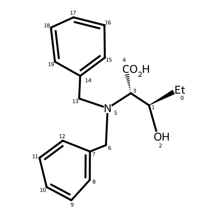 CC[C@@H](O)[C@@H](C(=O)O)N(Cc1ccccc1)Cc1ccccc1